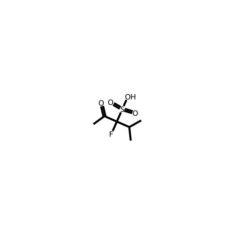 CC(=O)C(F)(C(C)C)S(=O)(=O)O